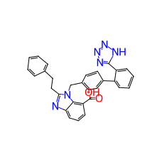 O=C(O)c1cccc2nc(CCc3ccccc3)n(Cc3ccc(-c4ccccc4-c4nnn[nH]4)cc3)c12